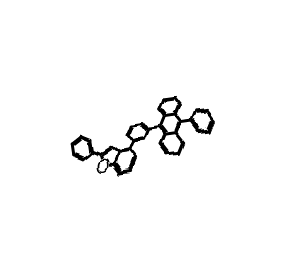 C1=Cc2c(c(-c3ccccc3)c3ccccc3c2-c2cccc(-c3cccc4oc(-c5ccccc5)cc34)c2)CC1